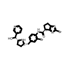 O=C(Nc1ccc(C[C@@H]2CC[C@H](C(O)c3cccnc3)N2)cc1Br)[C@H]1CCc2sc(Br)nc21